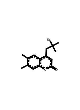 CCC(C)(C)Cc1cc(=O)oc2cc(C)c(C)cc12